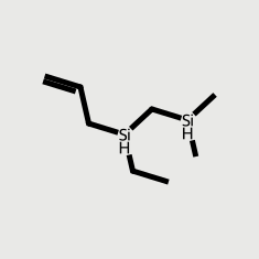 C=CC[SiH](CC)C[SiH](C)C